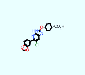 O=C(O)[C@H]1CC[C@H](Oc2nc3cc(Cl)c(-c4ccc5c(c4)OCO5)nc3[nH]2)CC1